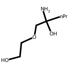 CCCC(N)(O)COCCO